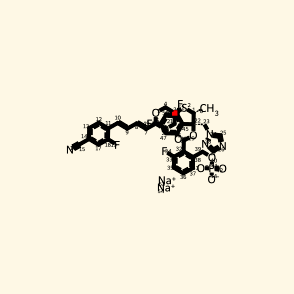 C[C@@H](SC1COC(C=CC=Cc2ccc(C#N)cc2F)OC1)[C@@](Cn1cncn1)(OC(=O)c1c(F)cccc1COP(=O)([O-])[O-])c1ccc(F)cc1F.[Na+].[Na+]